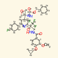 COc1cc(C(=O)NCC(O)(c2cc(C3(NC(=O)OCc4ccccc4)COC3)cc(-c3ccc(F)cc3)n2)C(F)(F)F)ccc1OC1CC1